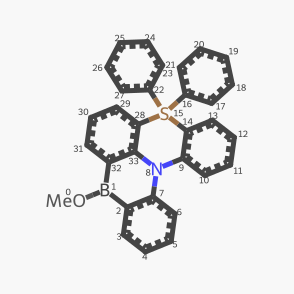 COB1c2ccccc2N2c3ccccc3S(c3ccccc3)(c3ccccc3)c3cccc1c32